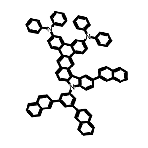 c1ccc(N(c2ccccc2)c2ccc3c(c2)c2cc(N(c4ccccc4)c4ccccc4)ccc2c2cc4c(ccc5c4c4cc(-c6ccc7ccccc7c6)ccc4n5-c4cc(-c5ccc6ccccc6c5)cc(-c5ccc6ccccc6c5)c4)cc32)cc1